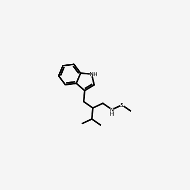 CSNCC(Cc1c[nH]c2ccccc12)C(C)C